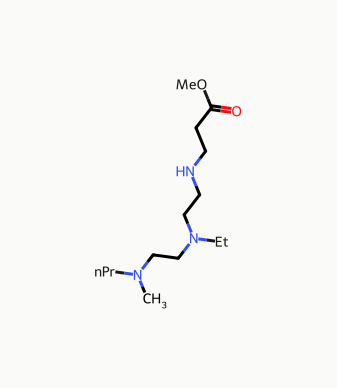 CCCN(C)CCN(CC)CCNCCC(=O)OC